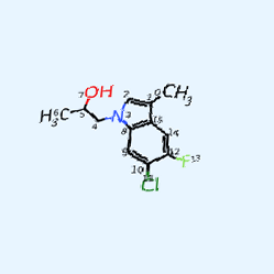 Cc1cn(C[C@@H](C)O)c2cc(Cl)c(F)cc12